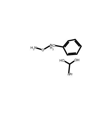 CCCC(O)O.Clc1ccccc1.NON